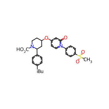 CCC(C)c1ccc(C2CC(Oc3ccn(-c4ccc(S(C)(=O)=O)cc4)c(=O)c3)CCN2C(=O)O)cc1